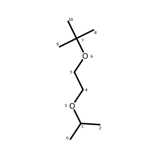 CC(C)OCCOC(C)(C)C